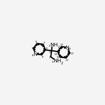 NCC(N)(c1cccnc1)c1cccnc1